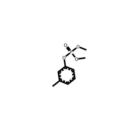 COP(=O)(OC)Oc1cccc(C)c1